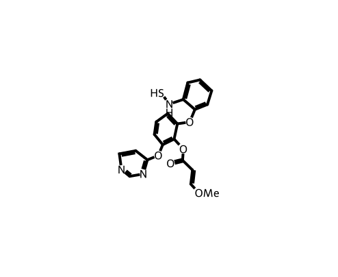 COC=CC(=O)Oc1c(Oc2ccncn2)cccc1Oc1ccccc1NS